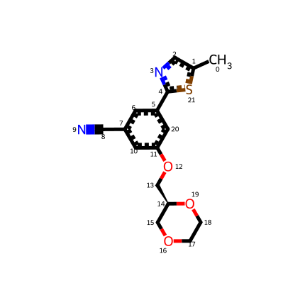 Cc1cnc(-c2cc(C#N)cc(OC[C@@H]3COCCO3)c2)s1